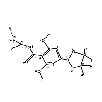 COc1cc(B2OC(C)(C)C(C)(C)O2)cc(OC)c1C(=O)N[C@@H]1C[C@@H]1F